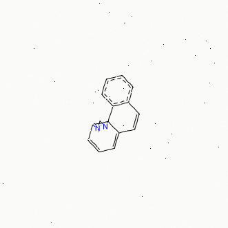 C1=CC2=NC=NC23C(=C1)C=Cc1ccccc13